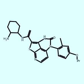 C=C(NC1CCCCC1N)c1sc2nccc3c2c1NC(=O)N3c1ccc(OC(C)C)cc1C